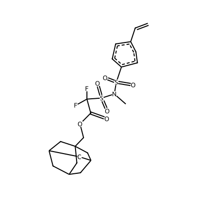 C=Cc1ccc(S(=O)(=O)N(C)S(=O)(=O)C(F)(F)C(=O)OCC23CC4CC(CC(C4)C2)C3)cc1